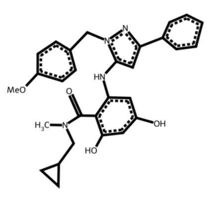 COc1ccc(Cn2nc(-c3ccccc3)cc2Nc2cc(O)cc(O)c2C(=O)N(C)CC2CC2)cc1